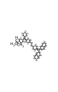 CC(C)(C)c1ccc(N(c2ccccc2)c2ccc(/C=C/c3ccc(N(c4ccc5ccccc5c4)c4ccc5ccccc5c4)cc3)cc2)cc1